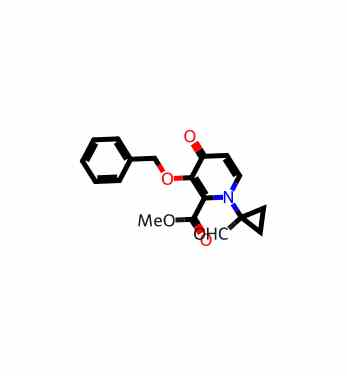 COC(=O)c1c(OCc2ccccc2)c(=O)ccn1C1(C=O)CC1